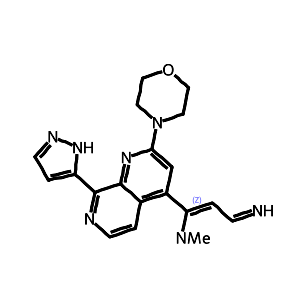 CN/C(=C\C=N)c1cc(N2CCOCC2)nc2c(-c3ccn[nH]3)nccc12